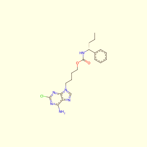 CCC[C@@H](NC(=O)OCCCCn1cnc2c(N)nc(Cl)nc21)c1ccccc1